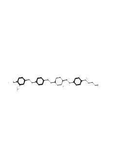 CCCCCc1ccc(CCC2CCC(CCc3ccc(CCc4ccc(Cl)c(F)c4)cc3)CC2)cc1